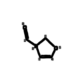 O=CN1C=COC1